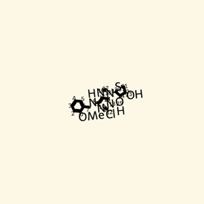 COc1ccccc1CNc1nc(Cl)nc2c1ncn2[C@@H]1SCC(O)[C@@H]1O